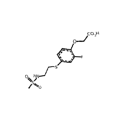 CS(=O)(=O)NCCSc1ccc(OCC(=O)O)c(F)c1